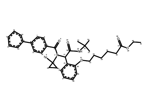 [2H]C1(N(C(=O)c2ccc(-c3ccccc3)cc2)C(C(=O)NC(C)(C)C)c2ccccc2OCCCCCC(=O)OCC)CC1